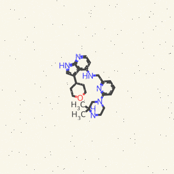 CC1(C)CN(c2cccc(CNc3ccnc4[nH]cc(C5CCOCC5)c34)n2)CCN1